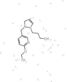 OCCCN1C=CCN1Cc1ccc(OCC(F)(F)F)nc1